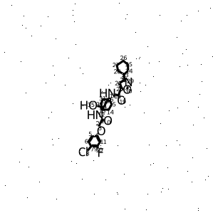 O=C(COc1ccc(Cl)c(F)c1)NC12CCC(NC(=O)c3cc(C4CCCCC4)no3)(CC1)CC2O